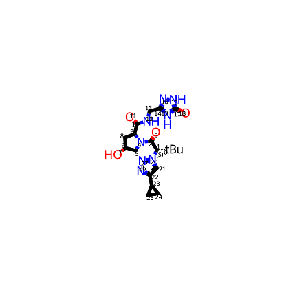 CC(C)(C)[C@@H](C(=O)N1CC(O)CC1C(=O)NCc1n[nH]c(=O)[nH]1)n1cc(C2CC2)nn1